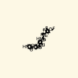 Cn1c(-c2ccc(OCF)c(F)c2F)cnc1C(=O)Nc1ccc(C(=O)N2CCN(C(=O)C3(O)CCNCC3)CC2)c(Cl)c1